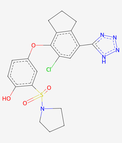 O=S(=O)(c1cc(Oc2c(Cl)cc(-c3nnn[nH]3)c3c2CCC3)ccc1O)N1CCCC1